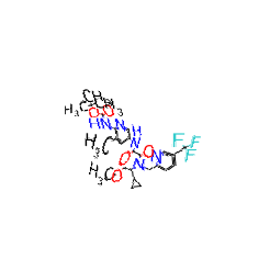 COCC(C1CC1)N(Cc1ccc(C(F)(F)F)cn1)C(=O)C(=O)Nc1cnc(NC(=O)OC(C)(C)C)c(C)c1